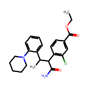 CCOC(=O)c1ccc(C(C(N)=O)C(C)c2ccccc2N2CCCCC2)c(Cl)c1